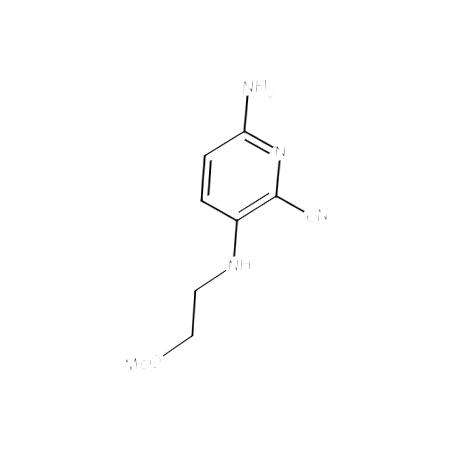 COCCNc1ccc(N)nc1C#N